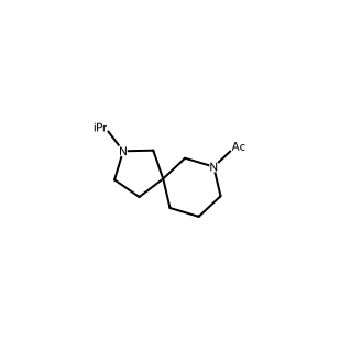 CC(=O)N1CCCC2(CCN(C(C)C)C2)C1